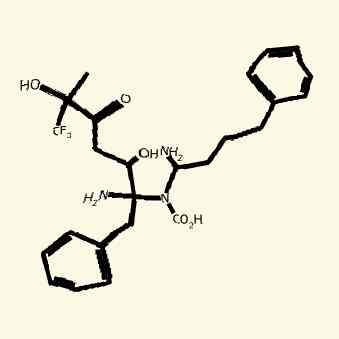 CC(O)(C(=O)CC(O)C(N)(Cc1ccccc1)N(C(=O)O)C(N)CCCc1ccccc1)C(F)(F)F